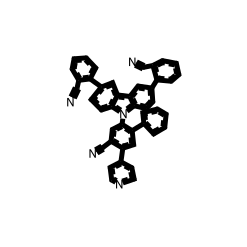 N#Cc1ccccc1-c1ccc2c(c1)c1cc(-c3ccccc3C#N)ccc1n2-c1cc(C#N)c(-c2ccncc2)cc1-c1ccccc1